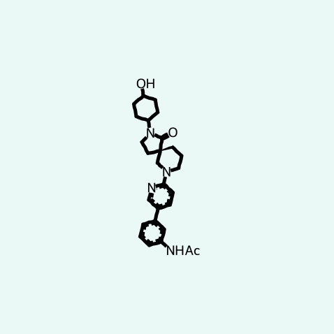 CC(=O)Nc1cccc(-c2ccc(N3CCC[C@]4(CCN(C5CCC(O)CC5)C4=O)C3)nc2)c1